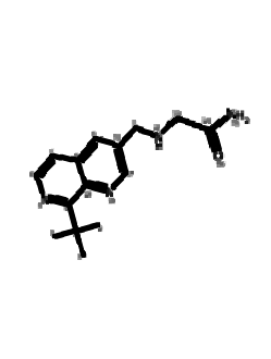 CC(C)(C)c1nccc2cc(CNCC(N)=O)cnc12